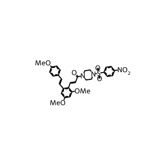 COc1ccc(/C=C/c2cc(OC)cc(OC)c2/C=C/C(=O)N2CCN(S(=O)(=O)c3ccc([N+](=O)[O-])cc3)CC2)cc1